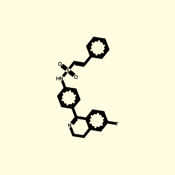 O=S(=O)(C=Cc1ccccc1)Nc1ccc(C2=NCCc3cc(F)ccc32)cc1